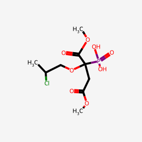 COC(=O)CC(OCC(C)Cl)(C(=O)OC)P(=O)(O)O